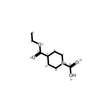 CCOC(=O)C1CCN(C(=O)O)CC1